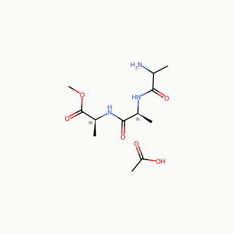 CC(=O)O.COC(=O)[C@H](C)NC(=O)[C@H](C)NC(=O)C(C)N